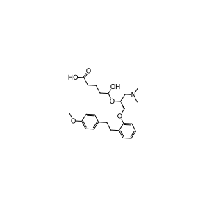 COc1ccc(CCc2ccccc2OC[C@H](CN(C)C)OC(O)CCCC(=O)O)cc1